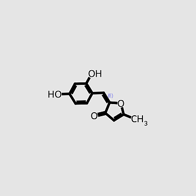 CC1=CC(=O)/C(=C\c2ccc(O)cc2O)O1